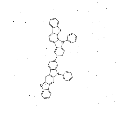 c1ccc(-n2c3cc(-c4ccc5c(c4)c4ccc6c7ccccc7sc6c4n5-c4ccccc4)ccc3c3cc4oc5ccccc5c4cc32)cc1